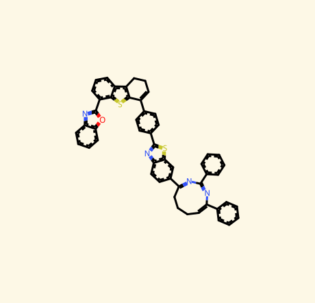 C1=C(c2ccc(-c3nc4ccc(/C5=N/C(c6ccccc6)=N\C(c6ccccc6)=C/CCC5)cc4s3)cc2)c2sc3c(-c4nc5ccccc5o4)cccc3c2CC1